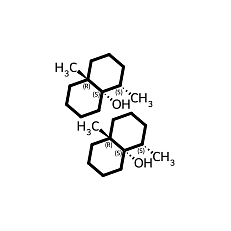 C[C@H]1CCC[C@@]2(C)CCCC[C@]12O.C[C@H]1CCC[C@@]2(C)CCCC[C@]12O